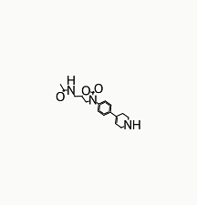 CC(=O)NCC1CN(c2ccc(C3=CCNCC3)cc2)C(=O)O1